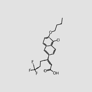 CCCCOc1ccc2cc(/C(=C/C(=O)O)CCC(F)(F)F)ccc2c1Cl